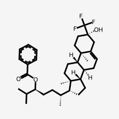 CC(C)[C@H](CC[C@@H](C)[C@H]1CC[C@H]2[C@@H]3CC=C4C[C@](O)(C(F)(F)F)CC[C@]4(C)[C@H]3CC[C@]12C)OC(=O)c1ccccc1